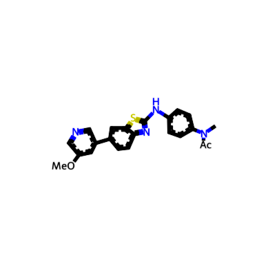 COc1cncc(-c2ccc3nc(Nc4ccc(N(C)C(C)=O)cc4)sc3c2)c1